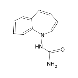 NC(=O)NN1C=CC=Cc2ccccc21